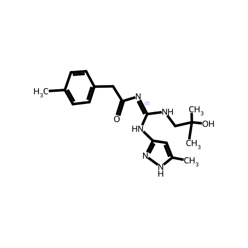 Cc1ccc(CC(=O)/N=C(/NCC(C)(C)O)Nc2cc(C)[nH]n2)cc1